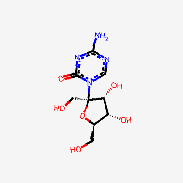 Nc1ncn([C@]2(CO)O[C@H](CO)[C@@H](O)[C@H]2O)c(=O)n1